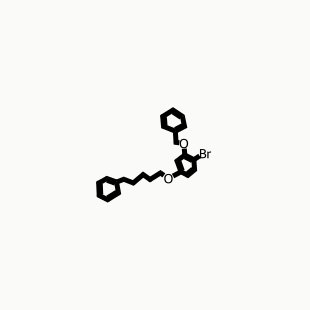 Brc1ccc(OCCCCCc2ccccc2)cc1OCc1ccccc1